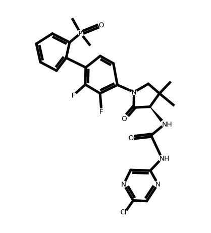 CC1(C)CN(c2ccc(-c3ccccc3P(C)(C)=O)c(F)c2F)C(=O)[C@@H]1NC(=O)Nc1cnc(Cl)cn1